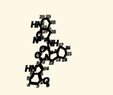 COc1cccc2[nH]c(C(=O)N3CC4CCCCC4C3C(=O)N[C@H](C#N)C[C@@H]3CCCNC3=O)cc12